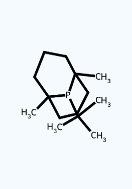 CC(C)(C)P1C2(C)CCCC1(C)CCC2